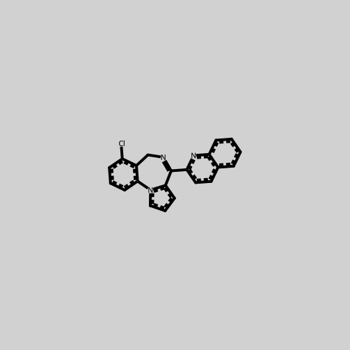 Clc1cccc2c1CN=C(c1ccc3ccccc3n1)c1cccn1-2